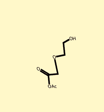 CC(=O)OC(=O)COCCO